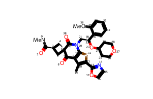 CNC(=O)[C@H]1C[C@@]2(C1)C(=O)c1c(sc(-c3ncco3)c1C)N(C[C@H](OC1CCOCC1)c1ccccc1OC)C2=O